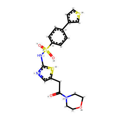 O=C(Cc1cnc(NS(=O)(=O)c2ccc(-c3ccsc3)cc2)s1)N1CCOCC1